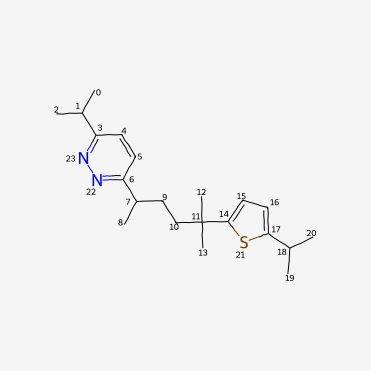 CC(C)c1ccc(C(C)CCC(C)(C)c2ccc(C(C)C)s2)nn1